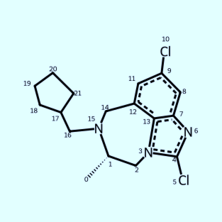 C[C@H]1Cn2c(Cl)nc3cc(Cl)cc(c32)CN1CC1CCCC1